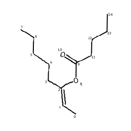 CC=C(CCCCC)OC(=O)CCCC